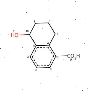 O=C(O)c1cccc2c1CCCC2O